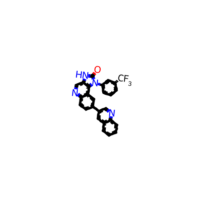 O=c1[nH]c2cnc3ccc(-c4cnc5ccccc5c4)cc3c2n1-c1cccc(C(F)(F)F)c1